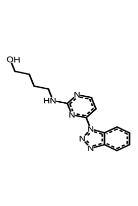 OCCCCNc1nccc(-n2nnc3ccccc32)n1